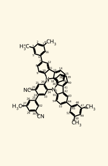 Cc1cc(C)cc(-c2ccc3c(c2)c2ccccc2n3-c2cc(C#N)c(-c3cc(C)cc(C#N)c3)cc2-n2c3ccccc3c3cc(-c4cc(C)cc(C)c4)ccc32)c1